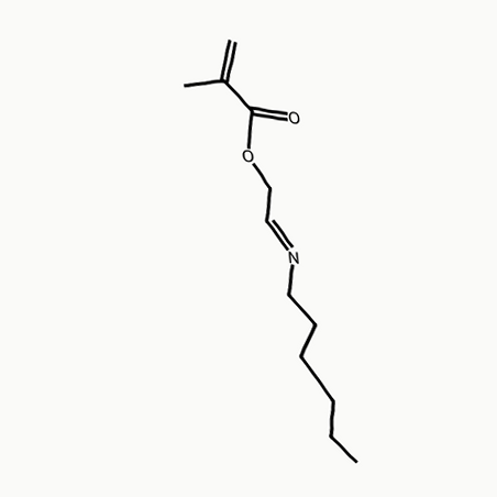 C=C(C)C(=O)OCC=NCCCCCC